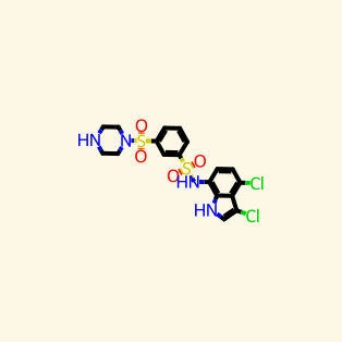 O=S(=O)(Nc1ccc(Cl)c2c(Cl)c[nH]c12)c1cccc(S(=O)(=O)N2CCNCC2)c1